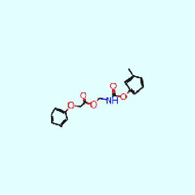 Cc1cccc(OC(=O)NCOC(=O)COc2ccccc2)c1